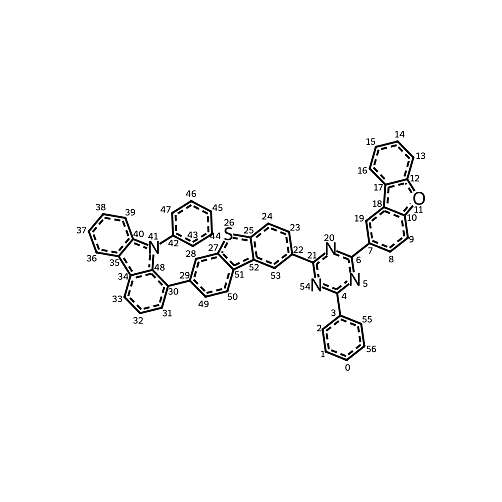 c1ccc(-c2nc(-c3ccc4oc5ccccc5c4c3)nc(-c3ccc4sc5cc(-c6cccc7c8ccccc8n(-c8ccccc8)c67)ccc5c4c3)n2)cc1